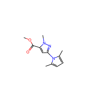 COC(=O)c1cc(-n2c(C)ccc2C)nn1C